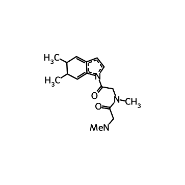 CNCC(=O)N(C)CC(=O)n1ccc2c1=CC(C)C(C)C=2